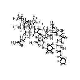 CC[C@H](C)[C@H](NC(=O)[C@@H](CCCNC(=N)N)NC(=O)[C@H](CC(C)C)NC(=O)C(NC(=O)OC(C)(C)C)[C@H](O)C(C)C)C(O)NC(C(=O)NCC(=O)N[C@H](C(=O)N[C@@H](CO)C(=O)NC[C@H](NC(=O)OCc1ccccc1)C(=O)Oc1c(F)c(F)c(F)c(F)c1F)[C@H](O)C(N)=O)[C@H](C)O